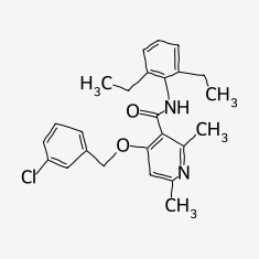 CCc1cccc(CC)c1NC(=O)c1c(OCc2cccc(Cl)c2)cc(C)nc1C